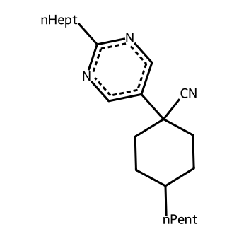 CCCCCCCc1ncc(C2(C#N)CCC(CCCCC)CC2)cn1